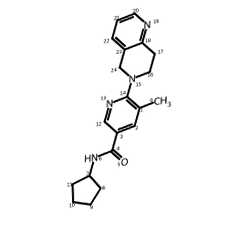 Cc1cc(C(=O)NC2CCCC2)cnc1N1CCc2ncccc2C1